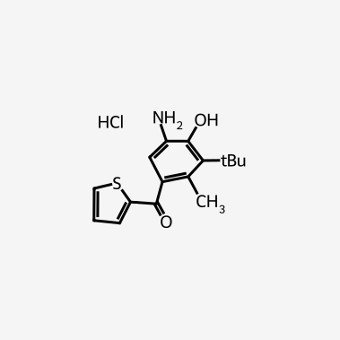 Cc1c(C(=O)c2cccs2)cc(N)c(O)c1C(C)(C)C.Cl